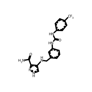 NC(=O)c1n[nH]cc1NCc1cccc(NC(=O)Nc2ccc(C(F)(F)F)cc2)c1